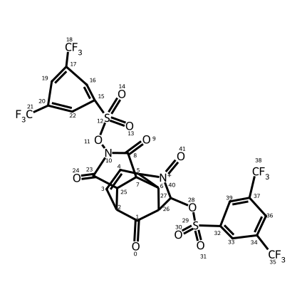 O=C1C2C=CC3C(C4C(=O)N(OS(=O)(=O)c5cc(C(F)(F)F)cc(C(F)(F)F)c5)C(=O)C24)C1C(OS(=O)(=O)c1cc(C(F)(F)F)cc(C(F)(F)F)c1)[N+]3=O